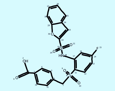 O=C(O)c1ccc(CS(=O)(=O)c2ccc(F)cc2NS(=O)(=O)c2cc3ccccc3o2)cc1